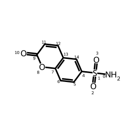 NS(=O)(=O)c1ccc2oc(=O)ccc2c1